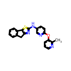 Cc1ncccc1Oc1ccc(Nc2nc3c(s2)-c2ccccc2C3)cn1